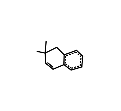 CC1(C)C=Cc2cc[c]cc2C1